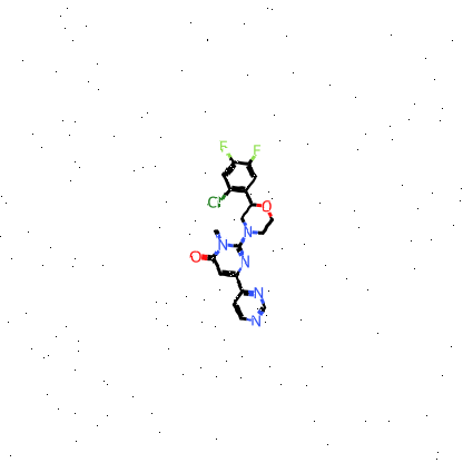 Cn1c(N2CCOC(c3cc(F)c(F)cc3Cl)C2)nc(-c2ccncn2)cc1=O